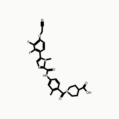 Cc1cc(NC(=O)c2ncc(-c3ccc(OCC#N)c(F)c3F)n2C)ccc1C(=O)N1CCC(C(=O)O)CC1